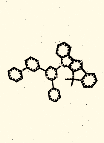 CC1(C)c2ccccc2-c2sc3c4ccccc4n(-c4cc(-c5cccc(-c6ccccc6)c5)nc(-c5ccccc5)n4)c3c21